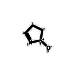 [O-][S+]1CCC=N1